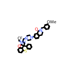 COc1cccc(CN2CCc3ccc(N4CCN(CCCC5(C(=O)NCC(F)(F)F)c6ccccc6Sc6ccccc65)CC4)cc3C2=O)c1